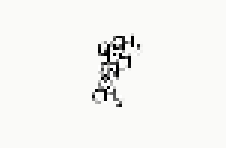 CCOc1ccc(C(=O)OC)c(Cl)n1